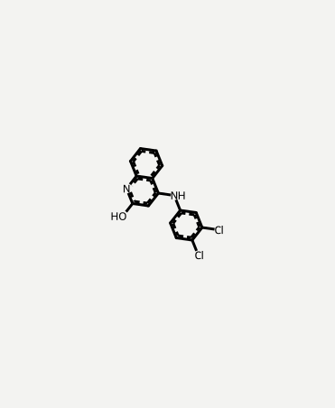 Oc1cc(Nc2ccc(Cl)c(Cl)c2)c2ccccc2n1